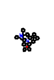 c1ccc(-c2nn3c(-c4ccccc4)cc4ccc(N(c5ccc6c(c5)C5(c7ccccc7-c7ccccc75)c5ccccc5-6)c5cccc6c5-c5ccccc5C6(c5ccccc5)c5ccccc5)cc4c3c2-c2ccccc2)cc1